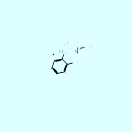 CC#N.CN(C)C.Cc1ccccc1S(=O)(=O)O